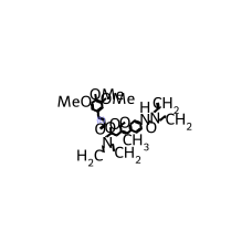 C=CCN(CC=C)CC(Cc1c(C)c2ccc(NC(=O)N(CC=C)CC=C)cc2oc1=O)OC(=O)/C=C/c1cc(OC)c(OC)c(OC)c1